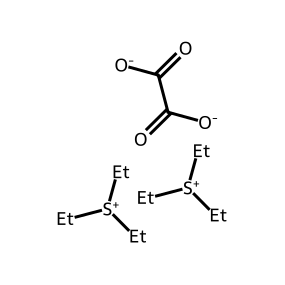 CC[S+](CC)CC.CC[S+](CC)CC.O=C([O-])C(=O)[O-]